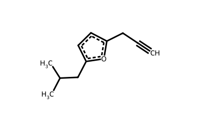 C#CCc1ccc(CC(C)C)o1